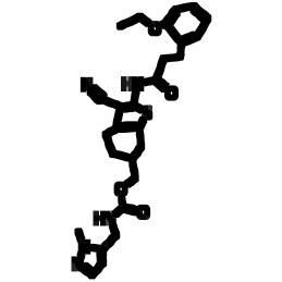 CCOc1ccccc1CCC(=O)Nc1sc2c(c1C#N)CCC(COC(=O)NCc1ccnn1C)C2